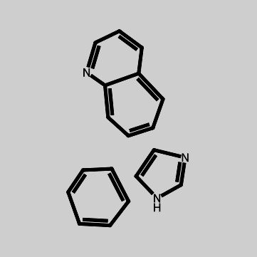 c1c[nH]cn1.c1ccc2ncccc2c1.c1ccccc1